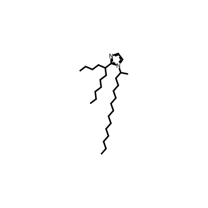 CCCCCCCCCCCCCC(C)n1ccnc1C(CCCC)CCCCCC